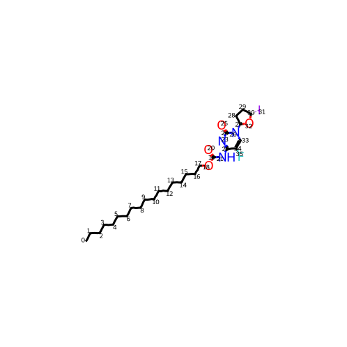 CCCCCCCCCCCCCCCCCCOC(=O)Nc1nc(=O)n([C@H]2CC[C@H](I)O2)cc1F